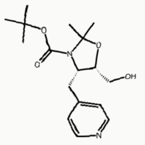 CC(C)(C)OC(=O)N1[C@@H](Cc2ccncc2)[C@@H](CO)OC1(C)C